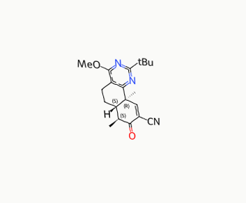 COc1nc(C(C)(C)C)nc2c1CC[C@H]1[C@H](C)C(=O)C(C#N)=C[C@]21C